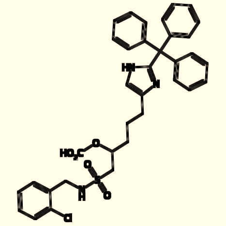 O=C(O)OC(CCCc1c[nH]c(C(c2ccccc2)(c2ccccc2)c2ccccc2)n1)CS(=O)(=O)NCc1ccccc1Cl